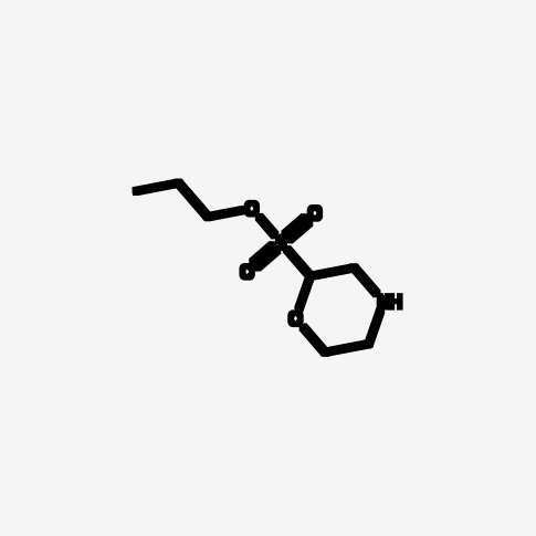 CCCOS(=O)(=O)C1CNCCO1